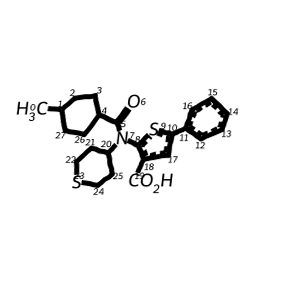 CC1CCC(C(=O)N(c2sc(-c3ccccc3)cc2C(=O)O)C2CCSCC2)CC1